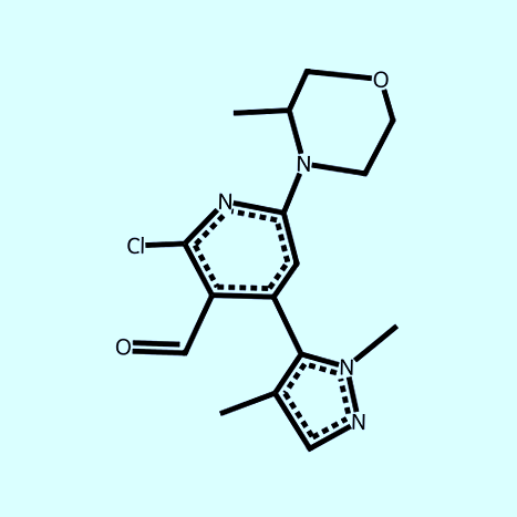 Cc1cnn(C)c1-c1cc(N2CCOCC2C)nc(Cl)c1C=O